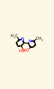 Cc1ccc(O)c(-c2nc(C)ccc2O)n1